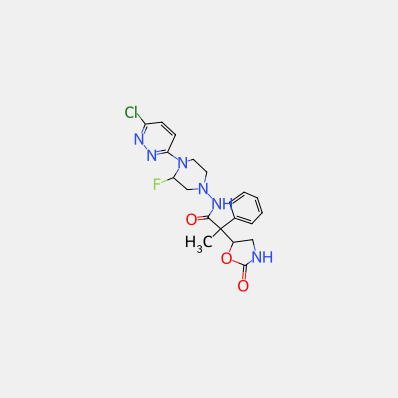 CC(C(=O)NN1CCN(c2ccc(Cl)nn2)C(F)C1)(c1ccccc1)C1CNC(=O)O1